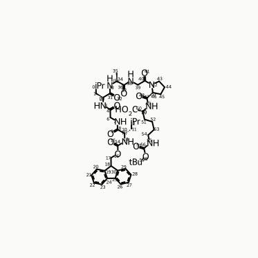 CC(C)C[C@H](NC(=O)CNC(=O)[C@H](CC(C)C)NC(=O)OCC1c2ccccc2-c2ccccc21)C(=O)N[C@@H](C)C(=O)NCC(=O)N1CCC[C@H]1C(=O)N[C@@H](CCCCNC(=O)OC(C)(C)C)C(=O)O